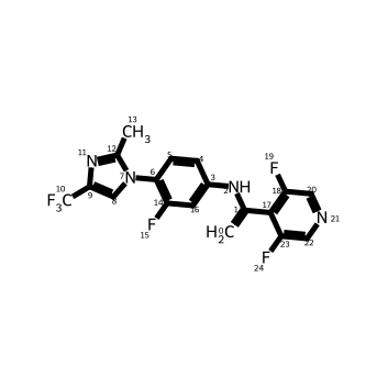 C=C(Nc1ccc(-n2cc(C(F)(F)F)nc2C)c(F)c1)c1c(F)cncc1F